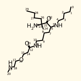 CCCCCNC(CCCCNC(=O)CCOCCNC)C(=O)C(C)(N)CCCC